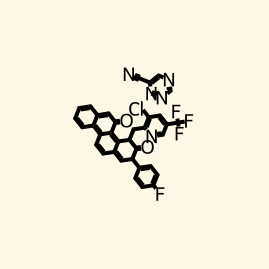 N#Cc1cncnn1.O=C1C=c2ccccc2=c2ccc3c(c21)C(Cc1ncc(C(F)(F)F)cc1Cl)C(=O)C(c1ccc(F)cc1)C=3